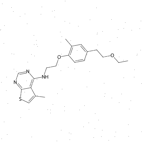 CCOCCc1ccc(OCCNc2ncnc3scc(C)c23)c(C)c1